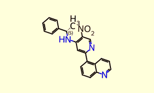 C[C@H](Nc1cc(-c2cccc3ncccc23)ncc1[N+](=O)[O-])c1ccccc1